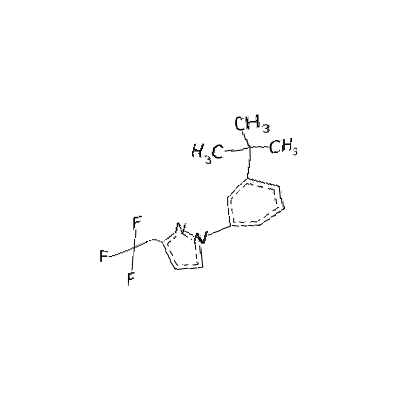 CC(C)(C)c1cccc(-n2ccc(C(F)(F)F)n2)c1